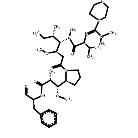 CC[C@H](C)[C@@H]([C@@H](CC(=O)N1CCC[C@H]1[C@H](OC)[C@@H](C)C(=O)N[C@H](C=O)Cc1ccccc1)OC)N(C)C(=O)[C@@H](/N=C(\N(C)C)N1CCNCC1)C(C)C